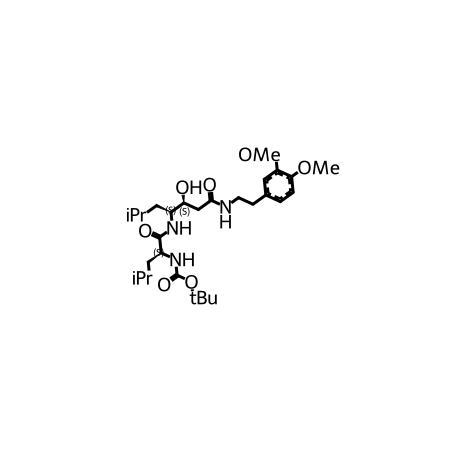 COc1ccc(CCNC(=O)C[C@H](O)[C@H](CC(C)C)NC(=O)[C@H](CC(C)C)NC(=O)OC(C)(C)C)cc1OC